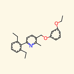 CCOc1cccc(OCc2ccc(-c3c(CC)cccc3CC)nc2C)c1